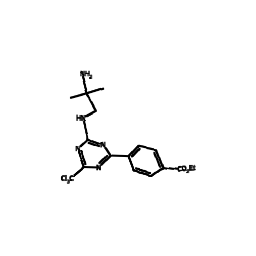 CCOC(=O)c1ccc(-c2nc(NCC(C)(C)N)nc(C(Cl)(Cl)Cl)n2)cc1